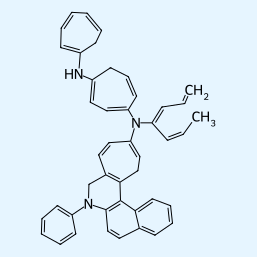 C=C/C=C(\C=C/C)N(C1=CC=C(NC2=CC=CC=CC2)CC=C1)C1=CCC2=C(C=C1)CN(c1ccccc1)c1ccc3ccccc3c12